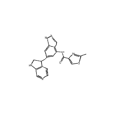 Cc1nc(C(=O)Nc2cc(C3CNc4cnccc43)cc3[nH]ncc23)cs1